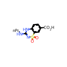 CCCNC1=NS(=O)(=O)c2cc(C(=O)O)ccc2N1